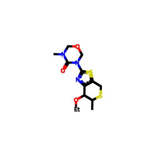 CCOC1c2nc(N3COCN(C)C3=O)sc2CSC1C